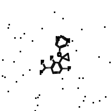 Fc1ccc(C(F)F)c(F)c1C1(Oc2cncnc2)CC1